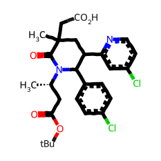 C[C@@H](CC(=O)OC(C)(C)C)N1C(=O)C(C)(CC(=O)O)CC(c2cc(Cl)ccn2)C1c1ccc(Cl)cc1